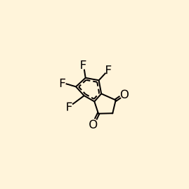 O=C1CC(=O)c2c(F)c(F)c(F)c(F)c21